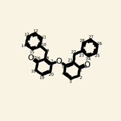 O=C1CC=CC(OC2=C(Cc3ccccc3)C(=O)CC=C2)=C1Cc1ccccc1